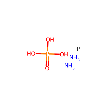 N.N.O=P(O)(O)O.[H+]